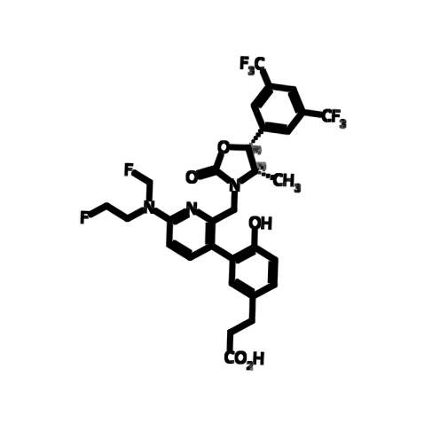 C[C@H]1[C@@H](c2cc(C(F)(F)F)cc(C(F)(F)F)c2)OC(=O)N1Cc1nc(N(CF)CCF)ccc1-c1cc(CCC(=O)O)ccc1O